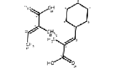 C/C(=C\C1CCCCC1)C(=O)O.C/C=C(\C)C(=O)O